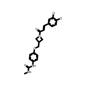 CNC(=O)Nc1ccc(OCC2CN(C(=O)C=Cc3ccc(Cl)c(Cl)c3)C2)cc1